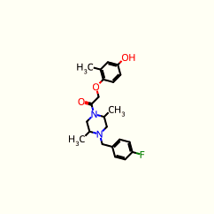 Cc1cc(O)ccc1OCC(=O)N1CC(C)N(Cc2ccc(F)cc2)CC1C